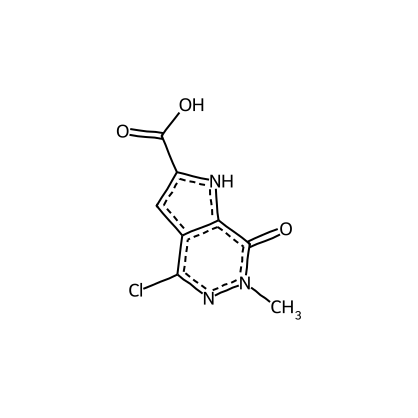 Cn1nc(Cl)c2cc(C(=O)O)[nH]c2c1=O